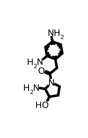 Nc1ccc(CC(=O)N2CCC(O)C2N)c(N)c1